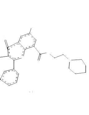 Cc1c(-c2ccccc2)oc2c(C(=O)OCCN3CCCCC3)cc(Br)cc2c1=O.Cl